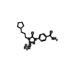 NC(=O)c1ccc(-n2nnn(CCCC3CCCC3)c2=O)cc1.O.O